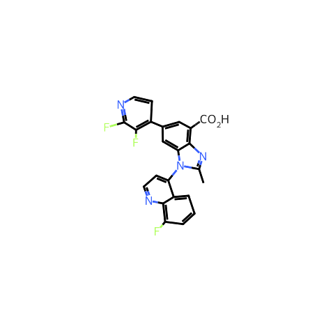 Cc1nc2c(C(=O)O)cc(-c3ccnc(F)c3F)cc2n1-c1ccnc2c(F)cccc12